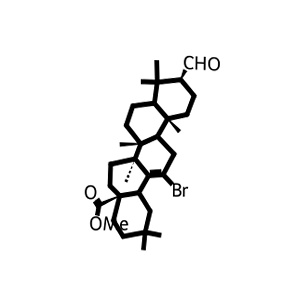 COC(=O)[C@]12CCC(C)(C)CC1C1=C(Br)CC3[C@@]4(C)CC[C@H](C=O)C(C)(C)C4CC[C@@]3(C)[C@]1(C)CC2